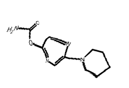 NC(=O)Oc1cnc(N2CCCCC2)cn1